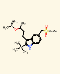 CNS(=O)(=O)Cc1ccc2[nH]c([Si](C)(C)C)c(CCC(O[SiH](C)C)C(C)(C)C)c2c1